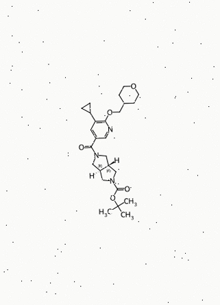 CC(C)(C)OC(=O)N1C[C@H]2CN(C(=O)c3cnc(OCC4CCOCC4)c(C4CC4)c3)C[C@@H]2C1